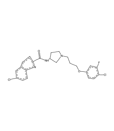 O=C(NC1CCN(CCCOc2ccc(Cl)c(F)c2)C1)c1ccc2cc(Cl)ccc2n1